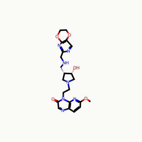 COc1ccc2ncc(=O)n(CCN3C[C@H](CNCc4ncc5c(n4)OCCO5)[C@H](O)C3)c2n1